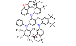 Bc1c(B)c(B)c(N(c2ccccc2)c2cc3c4c(c2)N(c2cccc5oc6ccccc6c25)c2cc5c(cc2B4c2cc4c(cc2N3c2ccc3c(c2)C(C)(C)CCC3(C)C)C(C)(C)CCC4(C)C)C(C)(C)CCC5(C)C)c(B)c1B